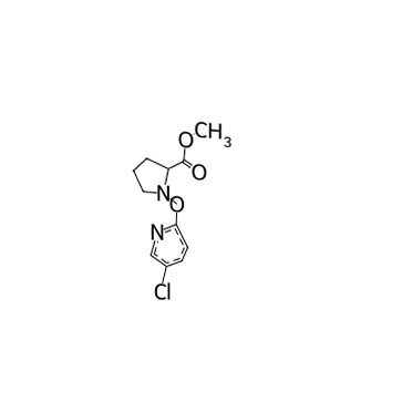 COC(=O)C1CCCN1Oc1ccc(Cl)cn1